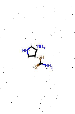 C1CCNC1.N.NC(=S)S